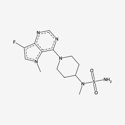 CN(C1CCN(c2ncnc3c(F)cn(C)c23)CC1)S(N)(=O)=O